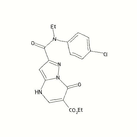 CCOC(=O)c1c[nH]c2cc(C(=O)N(CC)c3ccc(Cl)cc3)nn2c1=O